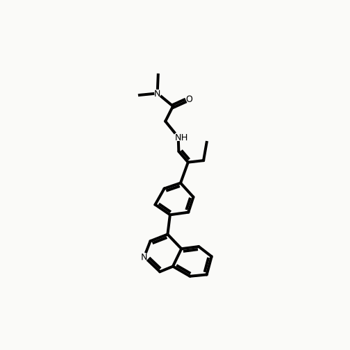 CC/C(=C\NCC(=O)N(C)C)c1ccc(-c2cncc3ccccc23)cc1